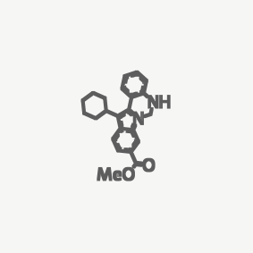 COC(=O)c1ccc2c(C3CCCCC3)c3n(c2c1)CNc1ccccc1-3